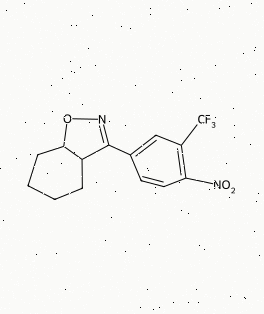 O=[N+]([O-])c1ccc(C2=NOC3CCCCC23)cc1C(F)(F)F